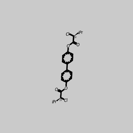 CC(C)[C@H](Cl)C(=O)Oc1ccc(-c2ccc(OC(=O)[C@@H](Cl)C(C)C)cc2)cc1